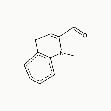 CN1C(C=O)=CCc2ccccc21